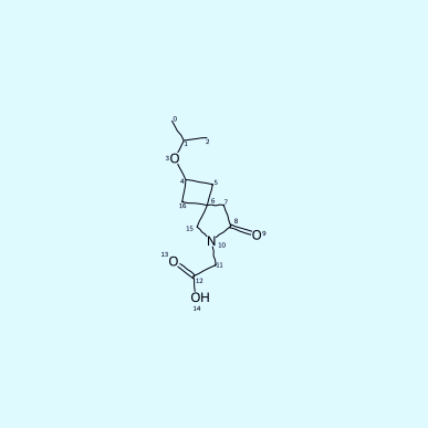 CC(C)OC1CC2(CC(=O)N(CC(=O)O)C2)C1